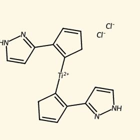 C1=CC(c2cc[nH]n2)=[C]([Ti+2][C]2=C(c3cc[nH]n3)C=CC2)C1.[Cl-].[Cl-]